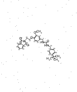 COc1cc(CNC(=O)NCc2ccc(C(C)(C)C)cc2)ccc1OCCN1C(=O)c2ccccc2C1=O